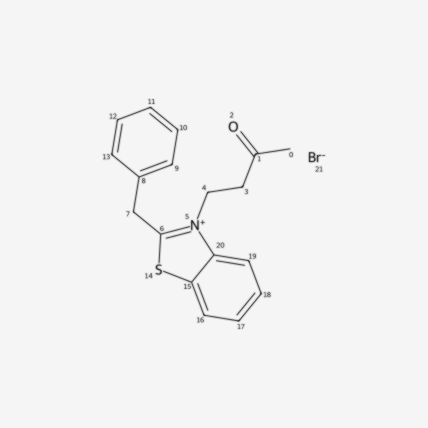 CC(=O)CC[n+]1c(Cc2ccccc2)sc2ccccc21.[Br-]